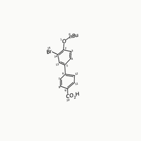 CCCCOc1ccc(-c2ccc(C(=O)O)cc2)cc1Br